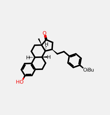 CC(C)COc1ccc(CC[C@@H]2CC(=O)[C@@]3(C)CC[C@@H]4c5ccc(O)cc5CC[C@H]4[C@H]23)cc1